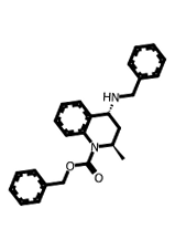 C[C@@H]1C[C@@H](NCc2ccccc2)c2ccccc2N1C(=O)OCc1ccccc1